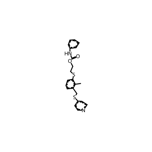 Cc1c(CSc2ccncc2)cccc1SCCOC(=O)Nc1ccccc1